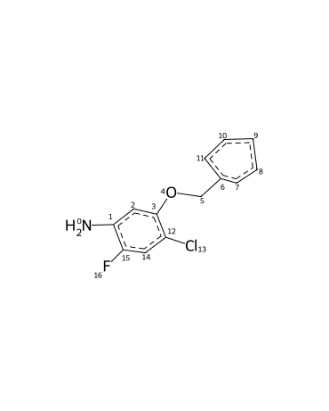 Nc1cc(OCc2ccccc2)c(Cl)cc1F